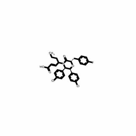 CCCC(C=CC(=O)O)N1C(=O)[C@H](Cc2ccc(F)cc2)O[C@@H](c2ccc(Cl)cc2)[C@H]1c1ccc(Cl)cc1